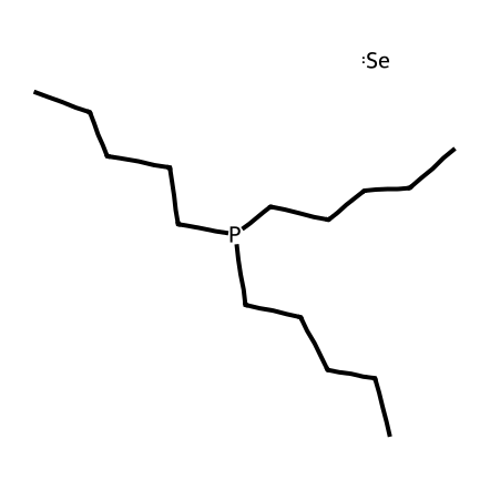 CCCCCP(CCCCC)CCCCC.[Se]